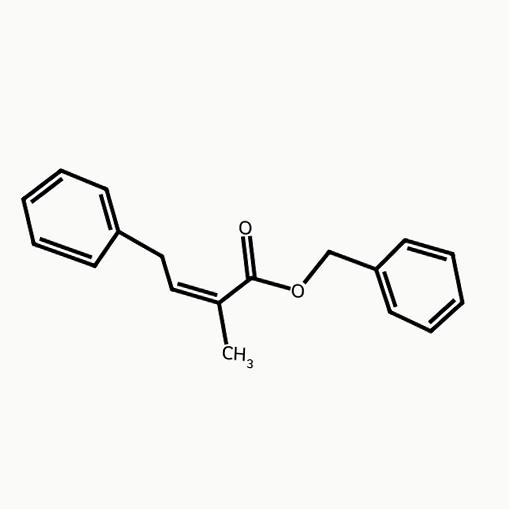 CC(=CCc1ccccc1)C(=O)OCc1ccccc1